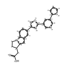 O=C(O)CC1CCn2c1cc1cc(-c3noc(-c4cncc(-c5cccs5)c4)n3)ccc12